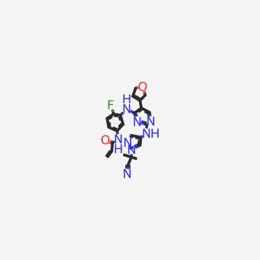 C=CC(=O)Nc1ccc(F)c(Nc2nc(Nc3cnn(C(C)(C)C#N)c3)ncc2C2=CCOC2)c1